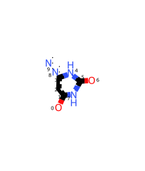 O=c1cc[nH]c(=O)[nH]1.[N].[N]